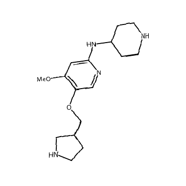 COc1cc(NC2CCNCC2)ncc1OCC1CCNC1